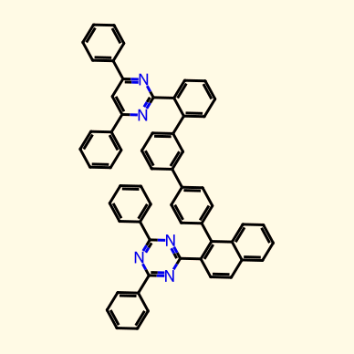 c1ccc(-c2cc(-c3ccccc3)nc(-c3ccccc3-c3cccc(-c4ccc(-c5c(-c6nc(-c7ccccc7)nc(-c7ccccc7)n6)ccc6ccccc56)cc4)c3)n2)cc1